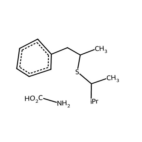 CC(Cc1ccccc1)SC(C)C(C)C.NC(=O)O